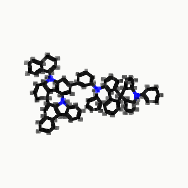 c1ccc(N(c2cccc(-c3cc4c5c6c(cccc6n4-c4cccc6ccccc46)c4cc6ccccc6c6c7ccccc7n(c5c3)c46)c2)c2cccc3c2-c2ccccc2C32c3ccccc3N(c3ccccc3)c3ccccc32)cc1